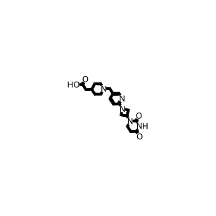 O=C(O)CC1CCN(Cc2ccc(N3CC(N4CCC(=O)NC4=O)C3)nc2)CC1